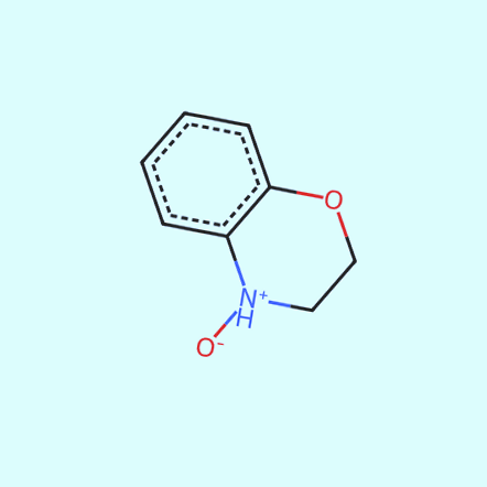 [O-][NH+]1CCOc2ccccc21